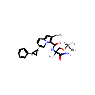 Cc1cc2ccc([C@@H]3C[C@H]3c3ccccc3)cn2c1C(=O)NC(C)(CO[Si](C)(C)C(C)(C)C)C(N)=O